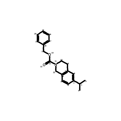 CC(C)c1ccc2c(c1)CCN(C(=O)OCc1ccccc1)C2